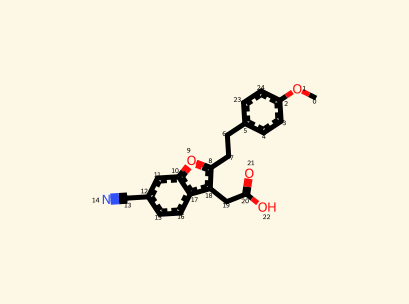 COc1ccc(CCc2oc3cc(C#N)ccc3c2CC(=O)O)cc1